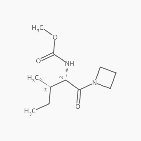 CC[C@H](C)[C@H](NC(=O)OC)C(=O)N1CCC1